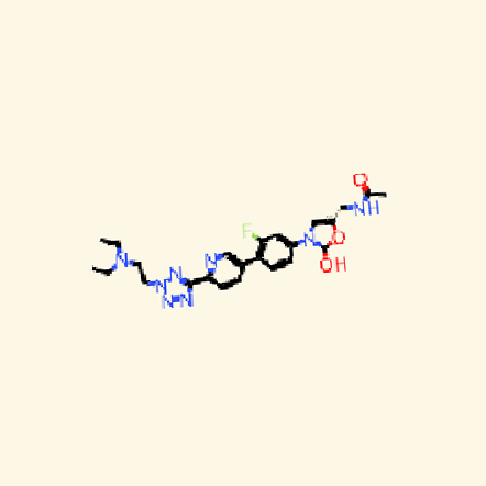 CCN(CC)CCn1nnc(-c2ccc(-c3ccc(N4C[C@H](CNC(C)=O)OC4O)cc3F)cn2)n1